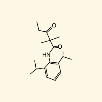 CCC(=O)C(C)(C)C(=O)Nc1c(C(C)C)cccc1C(C)C